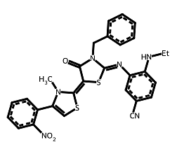 CCNc1ccc(C#N)cc1N=C1SC(=C2SC=C(c3ccccc3[N+](=O)[O-])N2C)C(=O)N1Cc1ccccc1